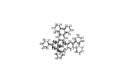 C1=CCCC(c2cc3c4ccccc4n(-c4cc5c6ccccc6c6ccccc6c5cc4-c4nc(-c5ccccc5)nc(-c5ccccc5)n4)c3cc2-c2ccccc2)=C1